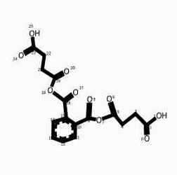 O=C(O)CCC(=O)OC(=O)c1ccccc1C(=O)OC(=O)CCC(=O)O